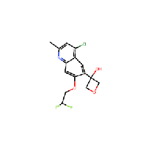 Cc1cc(Cl)c2cc(C3(O)COC3)c(OCC(F)F)cc2n1